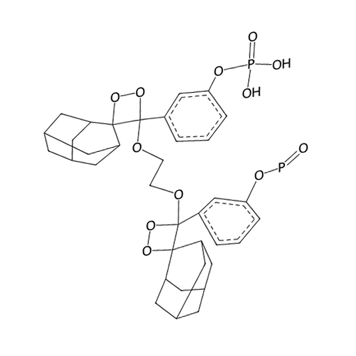 O=POc1cccc(C2(OCCOC3(c4cccc(OP(=O)(O)O)c4)OOC34C3CC5CC(C3)CC4C5)OOC23C2CC4CC(C2)CC3C4)c1